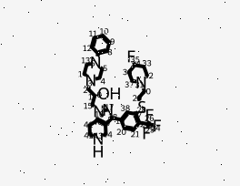 O[C@@H](CN1CCN(c2ccccc2)CC1)Cn1nc(-c2ccc(C(F)(F)F)c(SCCN3CCC(F)CC3)c2)c2c1CCNC2